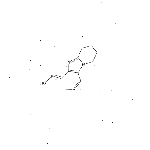 C/C=C\c1c(/C=N/O)nc2n1CCCC2